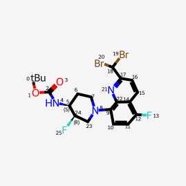 CC(C)(C)OC(=O)N[C@H]1CCN(c2ccc(F)c3ccc(C(Br)Br)nc23)C[C@H]1F